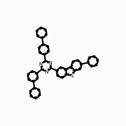 c1ccc(-c2ccc(-c3nc(-c4cccc(-c5ccccc5)c4)nc(-c4ccc5sc6cc(-c7ccccc7)ccc6c5c4)n3)cc2)cc1